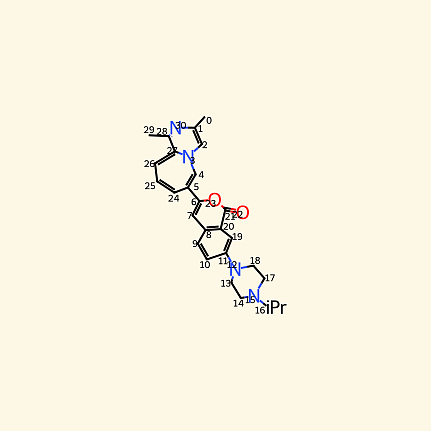 CC1=CN2C=C(c3cc4ccc(N5CCN(C(C)C)CC5)cc4c(=O)o3)C=CC=C2C(C)=N1